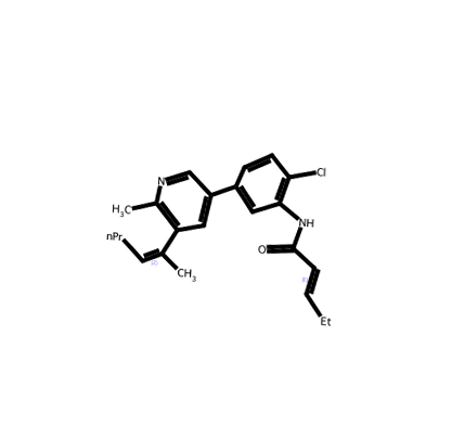 CC/C=C/C(=O)Nc1cc(-c2cnc(C)c(/C(C)=C\CCC)c2)ccc1Cl